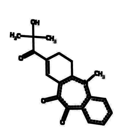 Cn1c2c(c(=O)c(=O)c3ccccc31)C=C(C(=O)C(C)(C)O)CC2